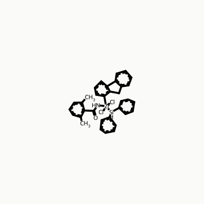 Cc1cccc(C)c1C(=O)[NH][Zr]([Cl])([Cl])([c]1cccc2c1Cc1ccccc1-2)[SiH](c1ccccc1)c1ccccc1